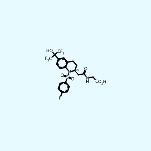 O=C(O)CNC(=O)C[C@@H]1CCc2cc(C(O)(C(F)(F)F)C(F)(F)F)ccc2N1S(=O)(=O)c1ccc(F)cc1